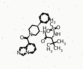 CC(C)(C)[C@H](NS(C)(=O)=O)C(=O)N[C@@H]1CN(C(=O)c2cccn3cncc23)CC[C@H]1c1ccccc1